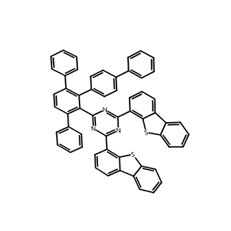 c1ccc(-c2ccc(-c3c(-c4ccccc4)ccc(-c4ccccc4)c3-c3nc(-c4cccc5c4sc4ccccc45)nc(-c4cccc5c4sc4ccccc45)n3)cc2)cc1